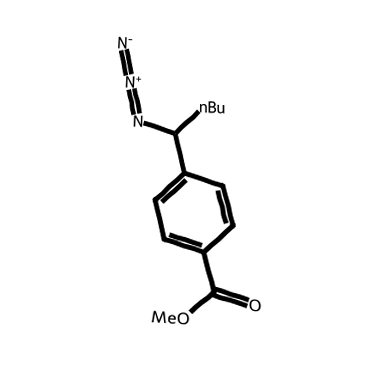 CCCCC(N=[N+]=[N-])c1ccc(C(=O)OC)cc1